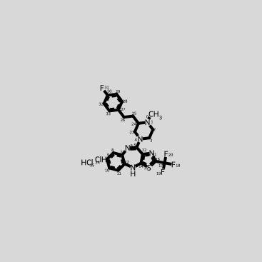 CN1CCN(C2=Nc3ccccc3Nc3sc(C(F)(F)F)nc32)CC1CCc1ccc(F)cc1.Cl.Cl